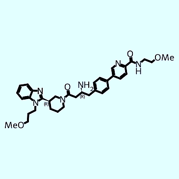 COCCCn1c([C@@H]2CCCN(C(=O)C[C@H](N)Cc3ccc(-c4ccc(C(=O)NCCOC)nc4)cc3)C2)nc2ccccc21